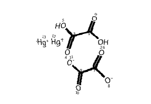 O=C(O)C(=O)O.O=C([O-])C(=O)[O-].[Hg+].[Hg+]